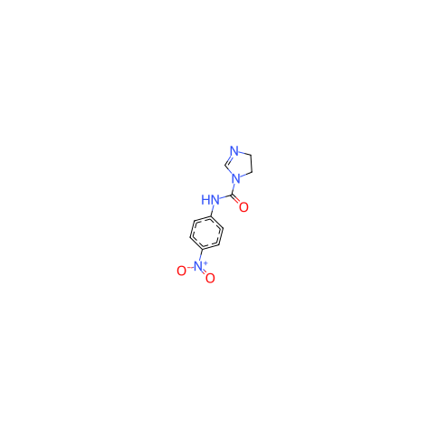 O=C(Nc1ccc([N+](=O)[O-])cc1)N1C=NCC1